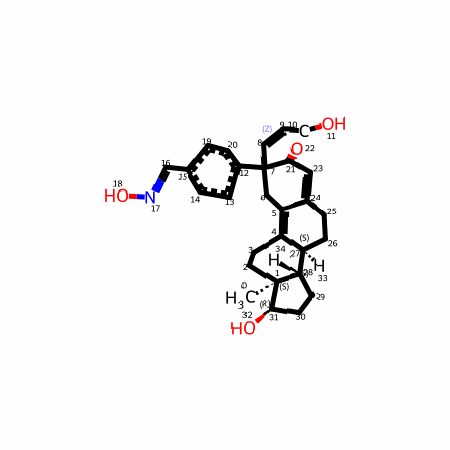 C[C@]12CCC3=C4CC(/C=C\CO)(c5ccc(C=NO)cc5)C(=O)C=C4CC[C@H]3[C@@H]1CC[C@H]2O